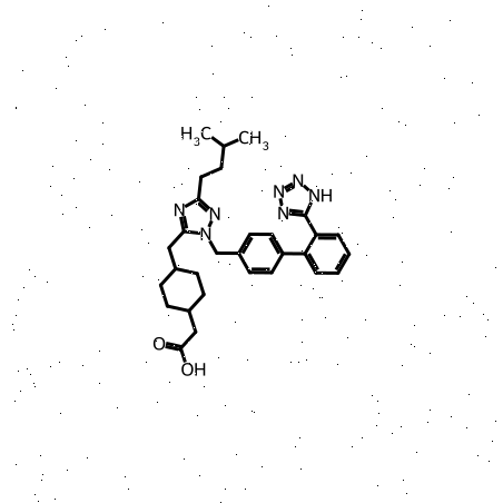 CC(C)CCc1nc(CC2CCC(CC(=O)O)CC2)n(Cc2ccc(-c3ccccc3-c3nnn[nH]3)cc2)n1